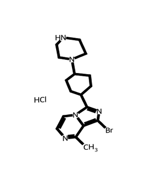 Cc1nccn2c(C3CCC(N4CCNCC4)CC3)nc(Br)c12.Cl